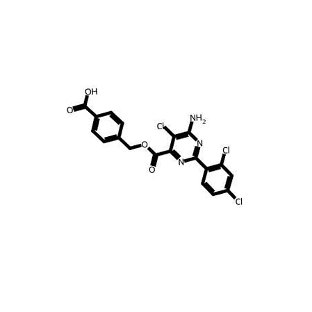 Nc1nc(-c2ccc(Cl)cc2Cl)nc(C(=O)OCc2ccc(C(=O)O)cc2)c1Cl